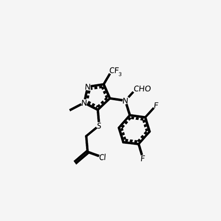 C=C(Cl)CSc1c(N(C=O)c2ccc(F)cc2F)c(C(F)(F)F)nn1C